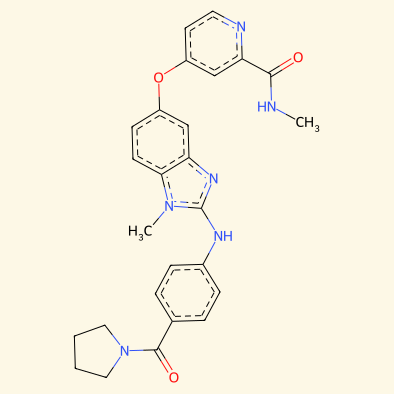 CNC(=O)c1cc(Oc2ccc3c(c2)nc(Nc2ccc(C(=O)N4CCCC4)cc2)n3C)ccn1